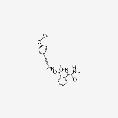 CNC(=O)/C(=N/OC)c1ccccc1CO/N=C(\C)C#Cc1ccc(OC2CC2)cc1